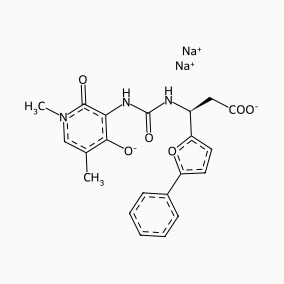 Cc1cn(C)c(=O)c(NC(=O)N[C@@H](CC(=O)[O-])c2ccc(-c3ccccc3)o2)c1[O-].[Na+].[Na+]